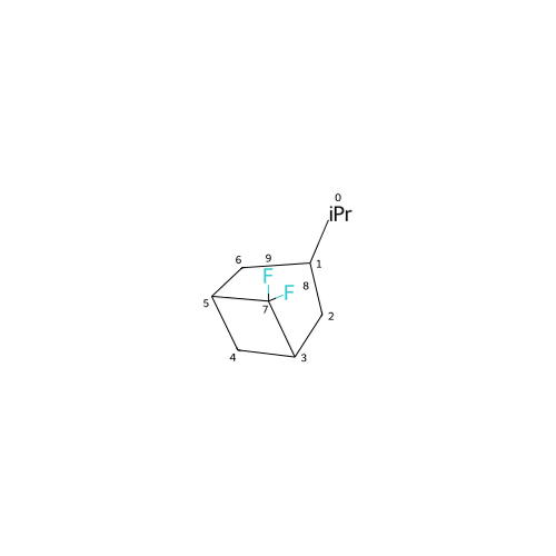 CC(C)C1CC2CC(C1)C2(F)F